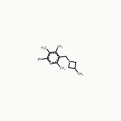 Cc1nc(C(C)C)c(C)c(C)c1CN1CC(C)C1